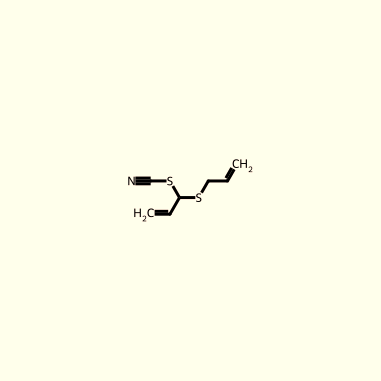 C=CCSC(C=C)SC#N